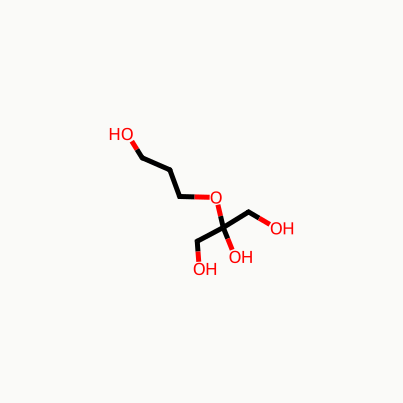 OCCCOC(O)(CO)CO